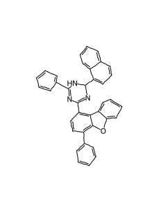 c1ccc(C2=NC(c3ccc(-c4ccccc4)c4oc5ccccc5c34)=NC(c3cccc4ccccc34)N2)cc1